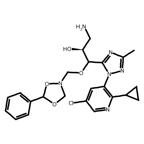 Cc1nc(C(OCN2COC(c3ccccc3)O2)[C@@H](O)CN)n(-c2cc(Cl)cnc2C2CC2)n1